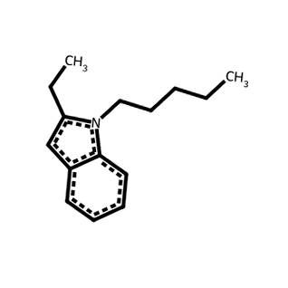 CCCCCn1c(CC)cc2ccccc21